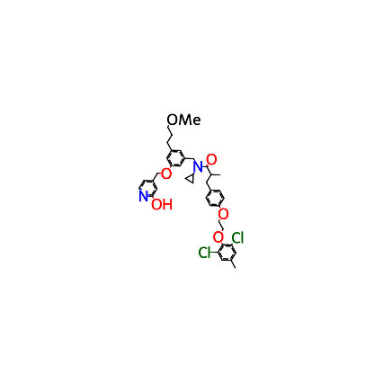 COCCCc1cc(CN(C(=O)C(C)Cc2ccc(OCCOc3c(Cl)cc(C)cc3Cl)cc2)C2CC2)cc(OCc2ccnc(O)c2)c1